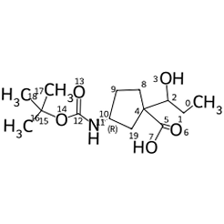 CCC(O)C1(C(=O)O)CC[C@@H](NC(=O)OC(C)(C)C)C1